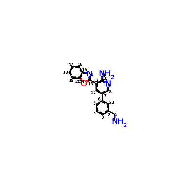 NCc1cccc(-c2cnc(N)c(-c3nc4ccccc4o3)c2)c1